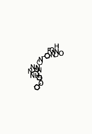 Nc1ncnc2c1c(-c1ccc(Oc3ccccc3)cc1)nn2C1CCN(Cc2ccc(N3CCC(=O)NC3=O)c(F)c2)CC1